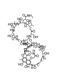 C/C1=C/C=C/[C@H](C)C(O)C(C)[C@@H](O)[C@@H](C)[C@H](C)[C@H](C)[C@@H](CO)/C=C/O[C@@]2(C)Oc3c(C)c(O)c4c(O)c(cc(OCC(=O)NCCNC(C)C(=O)NCC5NC(=O)CNC(=O)C(O)CNC(=O)C(C(C)O)NC(=O)C(C(O)C(O)C(N)=O)NC(=O)C(C(C)C)CC(=O)C(CO)NC5=O)c4c3C2=O)NC1=O